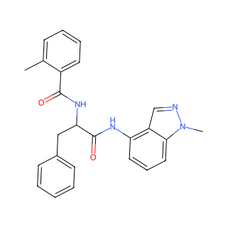 Cc1ccccc1C(=O)NC(Cc1ccccc1)C(=O)Nc1cccc2c1cnn2C